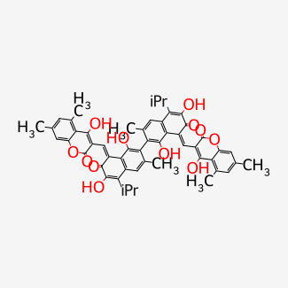 Cc1cc(C)c2c(O)c(/C=C3\C(=O)C(O)=C(C(C)C)c4cc(C)c(-c5c(C)cc6c(c5O)/C(=C/c5c(O)c7c(C)cc(C)cc7oc5=O)C(=O)C(O)=C6C(C)C)c(O)c43)c(=O)oc2c1